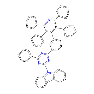 c1ccc(-c2nc(-c3cccc(-c4c(-c5ccccc5)c(-c5ccccc5)nc(-c5ccccc5)c4-c4ccccc4)c3)nc(-n3c4ccccc4c4ccccc43)n2)cc1